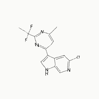 Cc1cc(-c2c[nH]c3cnc(Cl)cc23)nc(C(C)(F)F)n1